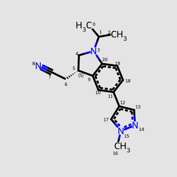 CC(C)N1C[C@@H](CC#N)c2cc(-c3cnn(C)c3)ccc21